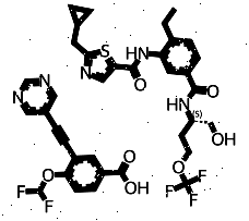 CCc1ccc(C(=O)N[C@H](CO)CCOC(F)(F)F)cc1NC(=O)c1cnc(CC2CC2)s1.O=C(O)c1ccc(OC(F)F)c(C#Cc2cncnc2)c1